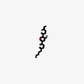 C=C(/C=C\C(=C)C(=C/C)/C=C(F)\C(=C/C)C(=C)/C=C\C(C)=C/C)CCCCC